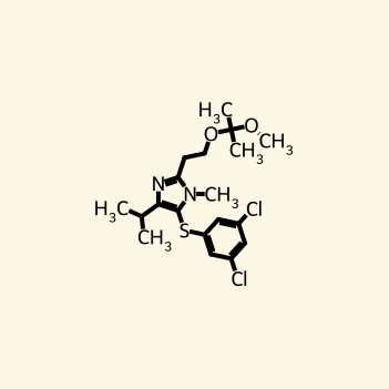 COC(C)(C)OCCc1nc(C(C)C)c(Sc2cc(Cl)cc(Cl)c2)n1C